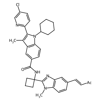 CC(=O)/C=C/c1ccc2c(c1)nc(C1(NC(=O)c3ccc4c(c3)c(C)c(-c3ccc(Cl)cn3)n4C3CCCCC3)CCC1)n2C